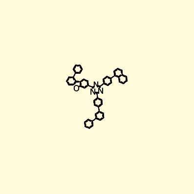 c1ccc(-c2cccc(-c3ccc(-c4nc(-c5ccc(-c6cccc7ccccc67)cc5)nc(-c5ccc6c(c5)oc5cccc(-c7ccccc7)c56)n4)cc3)c2)cc1